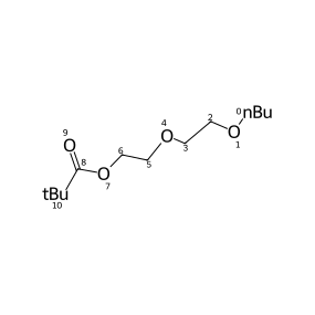 CCCCOCCOCCOC(=O)C(C)(C)C